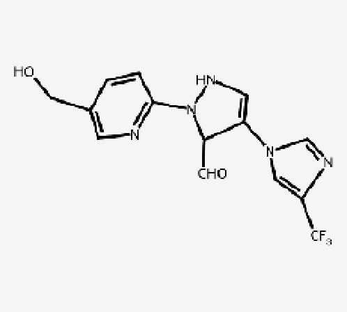 O=CC1C(n2cnc(C(F)(F)F)c2)=CNN1c1ccc(CO)cn1